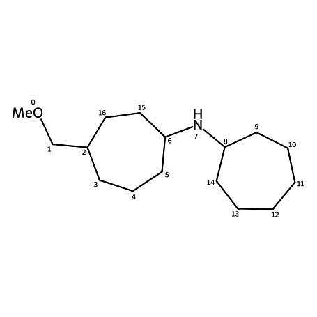 COCC1CCCC(NC2CCCCCC2)CC1